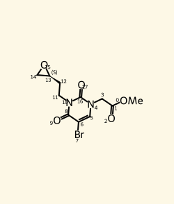 COC(=O)Cn1cc(Br)c(=O)n(CC[C@H]2CO2)c1=O